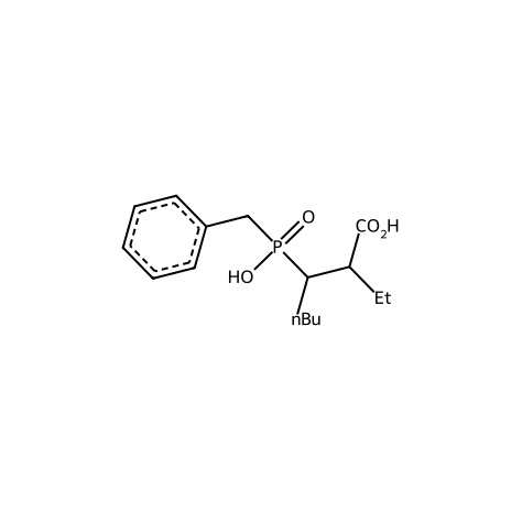 CCCCC(C(CC)C(=O)O)P(=O)(O)Cc1ccccc1